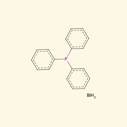 [BiH3].c1ccc(P(c2ccccc2)c2ccccc2)cc1